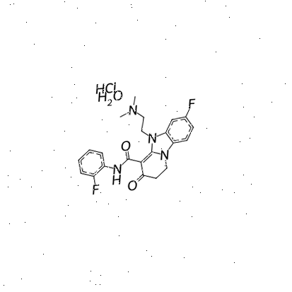 CN(C)CCN1C2=C(C(=O)Nc3ccccc3F)C(=O)CCN2c2ccc(F)cc21.Cl.O